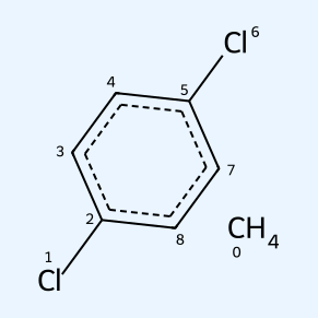 C.Clc1ccc(Cl)cc1